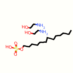 CCCCCCCCCCCCCOS(=O)(=O)O.NCCO.NCCO